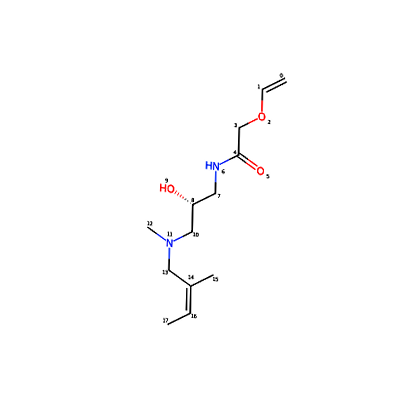 C=COCC(=O)NC[C@@H](O)CN(C)C/C(C)=C\C